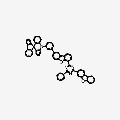 c1ccc(-c2nc(-c3ccc4c(c3)oc3ccccc34)nc(-c3cccc4c3oc3ccc(-c5cccc(N6c7ccccc7C7(c8ccccc8-c8ccccc87)c7ccccc76)c5)cc34)n2)cc1